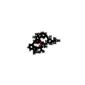 CCC(O)(CC)C(=O)N[C@H]1Cc2ccc3c(c2)C24c5cccc(c5N[C@H]2O3)-c2cccc3[nH]cc(c23)-c2oc(nc2C(=O)OC)-c2nc(oc24)[C@H](C(C)C)NC1=O